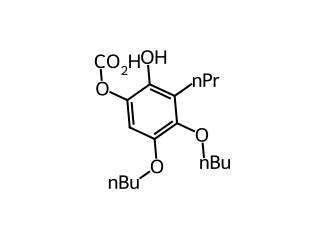 CCCCOc1cc(OC(=O)O)c(O)c(CCC)c1OCCCC